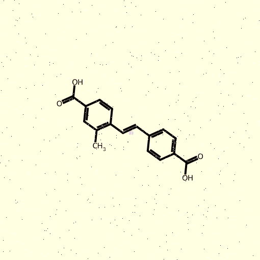 Cc1cc(C(=O)O)ccc1/C=C/c1ccc(C(=O)O)cc1